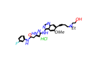 CCN(CCO)CCC#Cc1cc2ncnc(Nc3cc(CC(=O)Nc4cccc(F)c4)[nH]n3)c2cc1OC.Cl